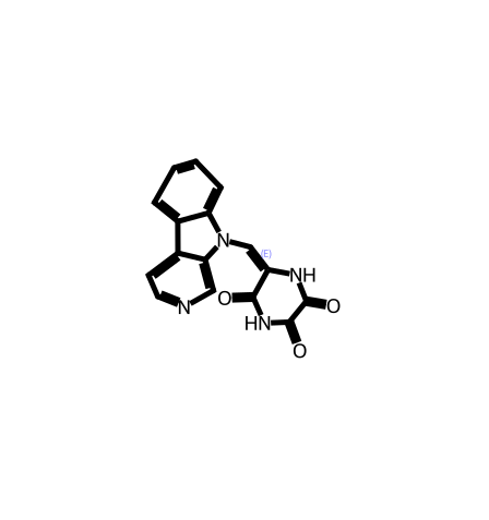 O=C1NC(=O)/C(=C\n2c3ccccc3c3ccncc32)NC1=O